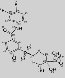 CC[C@@H]1C[C@@H](S(=O)(=O)c2cc(C(=O)Nc3ccc(F)c(F)c3)ccc2Cl)C[C@H](C)[C@@]1(O)C1CO1